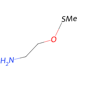 CSOCCN